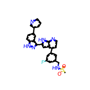 CS(=O)(=O)NCc1cc(F)cc(-c2ccnc3[nH]c(-c4n[nH]c5ccc(-c6cccnc6)cc45)cc23)c1